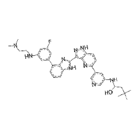 CN(C)CCNc1cc(F)cc(-c2cccc3[nH]c(-c4n[nH]c5ccc(-c6cncc(NC(O)CC(C)(C)C)c6)nc45)nc23)c1